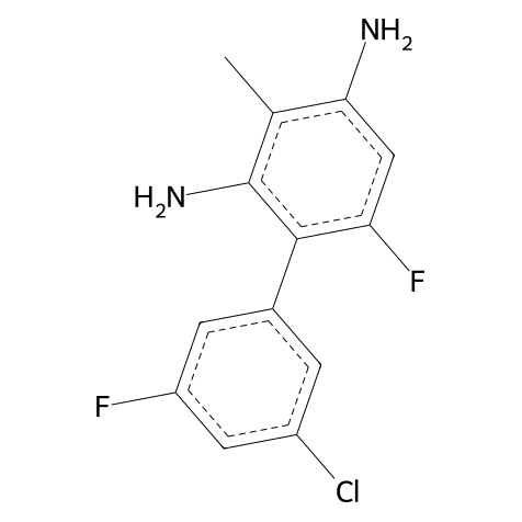 Cc1c(N)cc(F)c(-c2cc(F)cc(Cl)c2)c1N